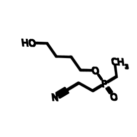 CCP(=O)(CCC#N)OCCCCO